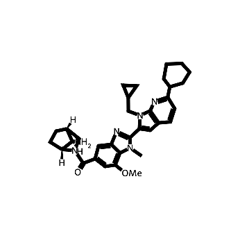 COc1cc(C(=O)N2C[C@H]3CC[C@@H]2[C@@H]3N)cc2nc(-c3cc4ccc(C5CCCCC5)nc4n3CC3CC3)n(C)c12